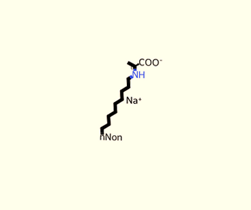 CCCCCCCCCCCCCCCCCCN[C@@H](C)C(=O)[O-].[Na+]